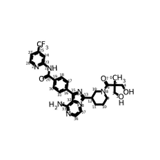 CC(CO)(CO)C(=O)N1CCCC(c2nc(-c3ccc(C(=O)Nc4cc(C(F)(F)F)ccn4)cc3)c3c(N)nccn23)C1